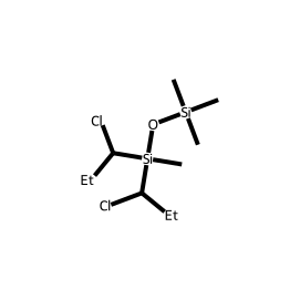 CCC(Cl)[Si](C)(O[Si](C)(C)C)C(Cl)CC